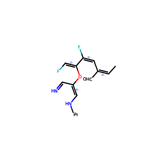 C\C=C(C=O)/C=C(F)\C(=C\F)O/C(C=N)=C/NC(C)C